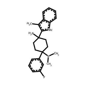 Cc1c(C2(N)CCC(c3cccc(F)c3)(N(C)C)CC2)[nH]c2ccccc12